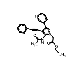 CCOC(=O)Cn1nc(-c2cccnc2)c(C#Cc2ccccc2)c1NC(C)=O